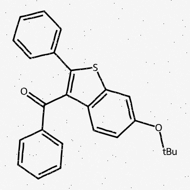 CC(C)(C)Oc1ccc2c(C(=O)c3ccccc3)c(-c3ccccc3)sc2c1